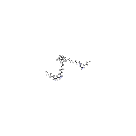 CCCC/C=C\C/C=C\CCCCCCCCC1(CCCCCCCC/C=C\C/C=C\CCCCC)OC[C@H](C)O1